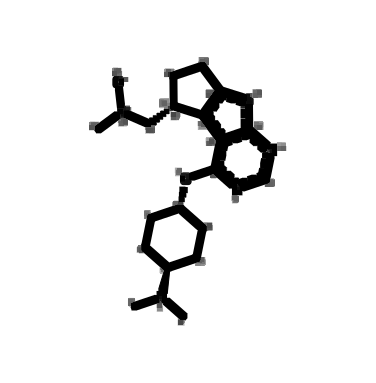 CN(C)[C@H]1CC[C@H](Oc2ncnc3sc4c(c23)[C@H](C[S+](C)[O-])CC4)CC1